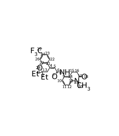 CCC1(CC)C/C(=C\C(=O)Nc2cccc3c2CCC(=O)N3C)c2ccc(C(F)(F)F)cc2O1